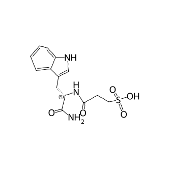 NC(=O)[C@H](Cc1c[nH]c2ccccc12)NC(=O)CCS(=O)(=O)O